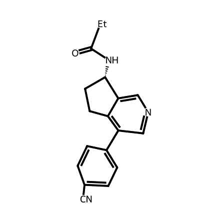 CCC(=O)N[C@H]1CCc2c(-c3ccc(C#N)cc3)cncc21